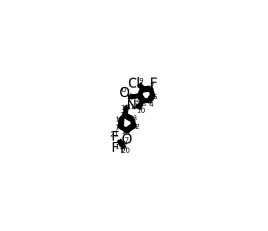 O=C1c2c(ccc(F)c2Cl)CN1Cc1ccc(OC(F)(F)F)cc1